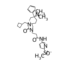 CN(C)[C@]1(c2ccccc2)CC[C@]2(CC1)CN(CCC(=O)Nc1ccc([S+](C)[O-])nc1)C(=O)N2CC1CCC1